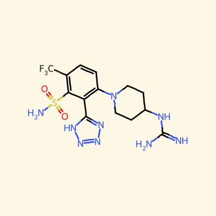 N=C(N)NC1CCN(c2ccc(C(F)(F)F)c(S(N)(=O)=O)c2-c2nnn[nH]2)CC1